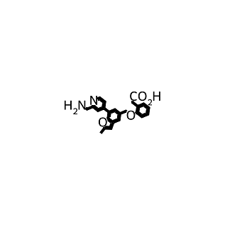 Cc1cc2cc(COc3ccccc3CC(=O)O)cc(-c3ccnc(CN)c3)c2o1